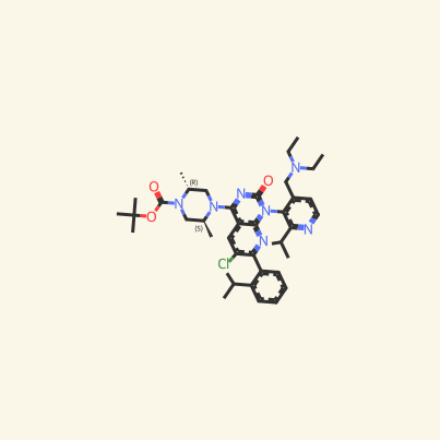 CCN(CC)Cc1ccnc(C(C)C)c1-n1c(=O)nc(N2C[C@@H](C)N(C(=O)OC(C)(C)C)C[C@@H]2C)c2cc(Cl)c(-c3ccccc3C(C)C)nc21